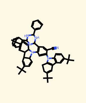 CC(C)(C)C1=CC2C3C=C(C(C)(C)C)C=CC3N(c3cc(-n4c5c(c6cc(C(C)(C)C)ccc64)C=C(C(C)(C)C)CC5)c(C#N)cc3C3NC(c4ccccc4)NC(C4C=CC=CC4)N3)C2C=C1